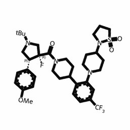 COc1ccc([C@@H]2CN(C(C)(C)C)C[C@@]2(F)C(=O)N2CCC(c3ccc(C(F)(F)F)cc3N3CCC(N4CCCS4(=O)=O)CC3)CC2)cc1